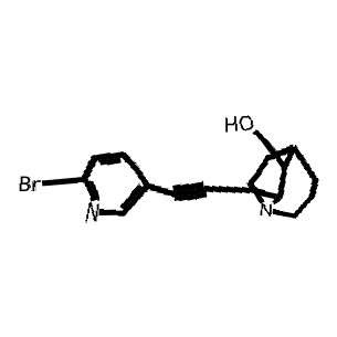 OC1C2CCN(CC2)C1C#Cc1ccc(Br)nc1